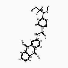 CCC(c1ccc(C(=O)Nc2ccc3c(c2)C(=O)c2ccccc2C3=O)cc1)C(C)(C)CC